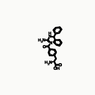 N/C(=N\C(=O)c1ccc(C[C@H](N)C(=O)O)cc1)NC(c1ccccc1)c1ccccc1